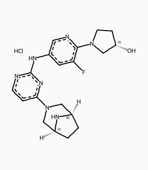 Cl.O[C@H]1CCN(c2ncc(Nc3nccc(N4C[C@H]5CC[C@@H](C4)N5)n3)cc2F)C1